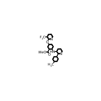 COC(=O)c1cc(Oc2ncccc2C(F)(F)F)ccc1Nc1cccnc1-c1ccc(C)cc1